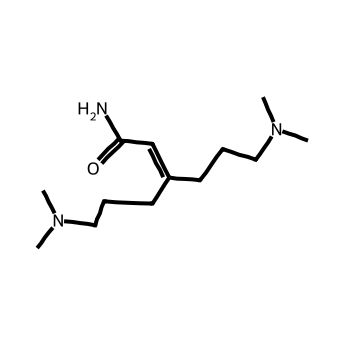 CN(C)CCCC(=CC(N)=O)CCCN(C)C